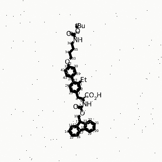 CCc1cc(C[C@H](NC(=O)OCC2c3ccccc3-c3ccccc32)C(=O)O)ccc1-c1ccc(OCCCCNC(=O)OC(C)(C)C)cc1